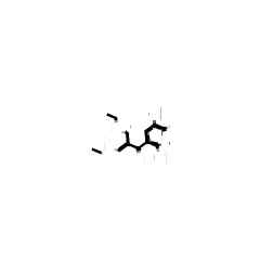 CCO/C=C(\C(=O)OCC)C(=O)c1cc(Cl)c(Cl)nc1Cl